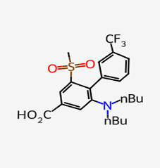 CCCCN(CCCC)c1cc(C(=O)O)cc(S(C)(=O)=O)c1-c1cccc(C(F)(F)F)c1